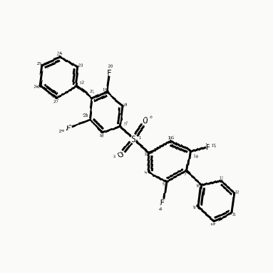 O=S(=O)(c1cc(F)c(-c2ccccc2)c(F)c1)c1cc(F)c(-c2ccccc2)c(F)c1